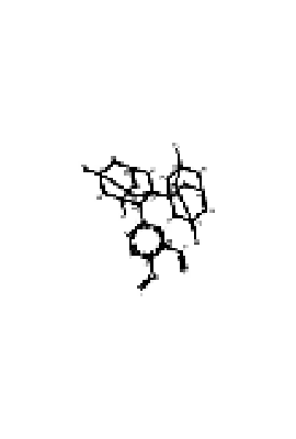 C=Cc1ccc(C2C3(C)CC4CC(C)(C3)CC2(C23CC5CC(C)(CC(C)(C5)C2)C3)C4)cc1C=C